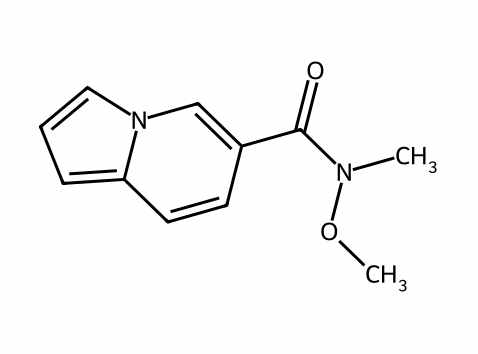 CON(C)C(=O)c1ccc2cccn2c1